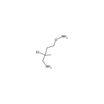 CCC(C)(CN)CCON